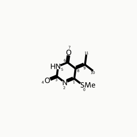 CSC1=NC(=O)NC(=O)C1=C(C)C